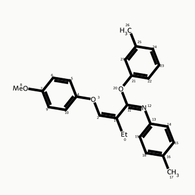 CCC(=COc1ccc(OC)cc1)C(=Nc1ccc(C)cc1)Oc1cccc(C)c1